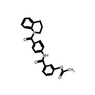 CC(=O)Oc1cccc(C(=O)Nc2ccc(C(=O)N3CCCc4ccccc43)cc2)c1